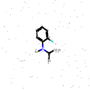 CCC(C(=O)O)N(C(C)=O)c1ccccc1F